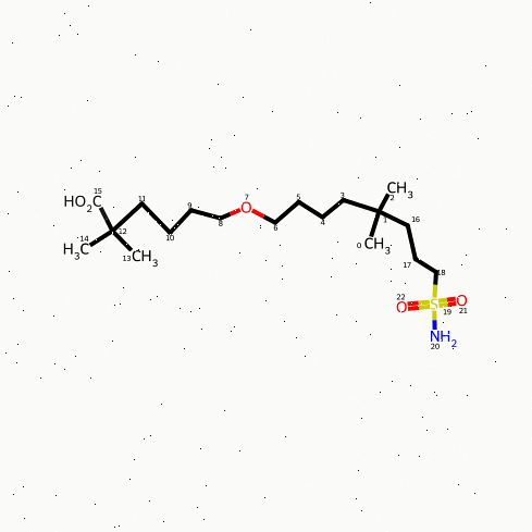 CC(C)(CCCCOCCCCC(C)(C)C(=O)O)CCCS(N)(=O)=O